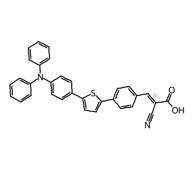 N#C/C(=C\c1ccc(-c2ccc(-c3ccc(N(c4ccccc4)c4ccccc4)cc3)s2)cc1)C(=O)O